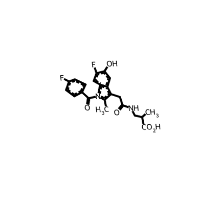 Cc1c(CC(=O)NCC(C)C(=O)O)c2cc(O)c(F)cc2n1C(=O)c1ccc(F)cc1